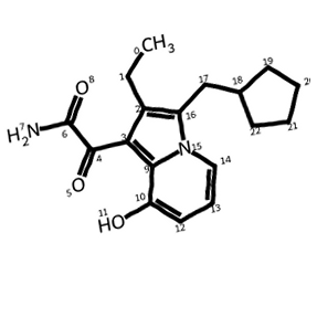 CCc1c(C(=O)C(N)=O)c2c(O)cccn2c1CC1CCCC1